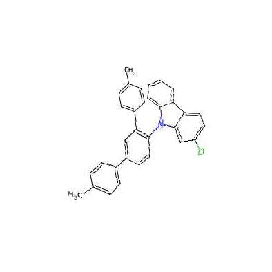 Cc1ccc(-c2ccc(-n3c4ccccc4c4ccc(Cl)cc43)c(-c3ccc(C)cc3)c2)cc1